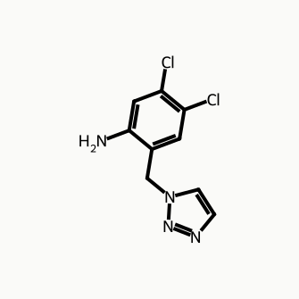 Nc1cc(Cl)c(Cl)cc1Cn1ccnn1